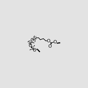 C=COC(=O)OCCCC[Si](C)(C)O[Si](C)(C)O[Si](C)(C)OC=C